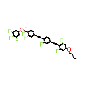 CCCCOC1C=C(F)C(C#Cc2ccc(C#Cc3ccc(C(F)(F)Oc4cc(F)c(F)c(F)c4)c(F)c3)c(F)c2)=C(F)C1